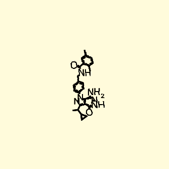 Cc1ccc(C)c(C(=O)NCc2ccc(-n3nc(C(C)C4CC4)c4c(=O)[nH]nc(N)c43)cc2)c1